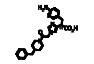 Nc1ccc(C[C@@H](C(=O)O)c2cn(CC(=O)N3CCC(Cc4ccccc4)CC3)cn2)cn1